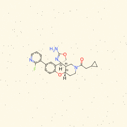 NC1=N[C@]2(CO1)c1cc(-c3cccnc3F)ccc1O[C@H]1CCN(C(=O)CC3CC3)C[C@@H]12